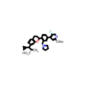 COc1cc(-c2ccc(C3CCc4ccc(C(C5CC5)[C@H](C)C(=O)O)cc4O3)c(CN3CCCC3)c2)c(F)cn1